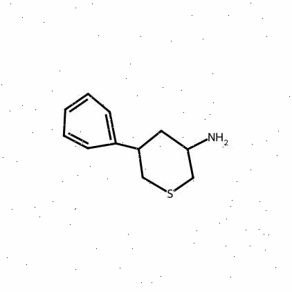 NC1CSCC(c2ccccc2)C1